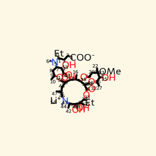 CCC(CCC(=O)[O-])N(C)C1CC(C)OC(OC2C(C)C(OC3CC(C)(OC)C(O)C(C)O3)C(C)C(=O)OC(CC)C(C)(O)C(O)C(C)N(C)CC(C)CC2(C)O)C1O.[Li+]